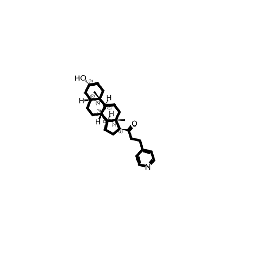 C[C@]12CC[C@@H](O)C[C@H]1CC[C@@H]1[C@@H]2CC[C@]2(C)[C@@H](C(=O)CCc3ccncc3)CC[C@@H]12